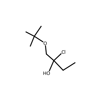 CCC(O)(Cl)COC(C)(C)C